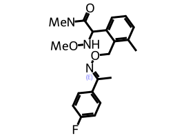 CNC(=O)C(NOC)c1cccc(C)c1CO/N=C(\C)c1ccc(F)cc1